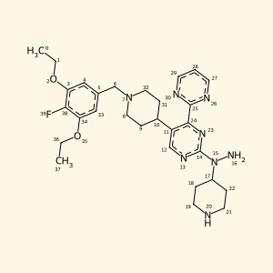 CCOc1cc(CN2CCC(c3cnc(N(N)C4CCNCC4)nc3-c3ncccn3)CC2)cc(OCC)c1F